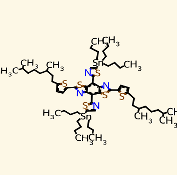 CCC[CH2][Sn]([CH2]CCC)([CH2]CCC)[c]1cnc(-c2c3nc(-c4ccc(CCC(C)CCCC(C)C)s4)sc3c(-c3nc[c]([Sn]([CH2]CCC)([CH2]CCC)[CH2]CCC)s3)c3nc(-c4ccc(CCC(C)CCCC(C)C)s4)sc23)s1